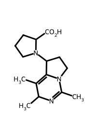 CC1=NC(C)C(C)=C2C(N3CCCC3C(=O)O)CCN12